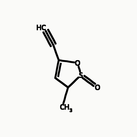 C#CC1=CC(C)S(=O)O1